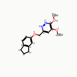 CCCCOc1cc(COc2ccc3c(c2)CCC3)nnc1OCCCC